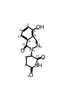 O=C1CCC(n2ncc3c(O)cccc3c2=O)C(=O)N1